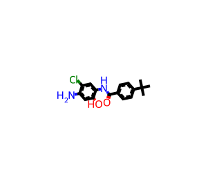 CC(C)(C)c1ccc(C(=O)Nc2cc(Cl)c(N)cc2O)cc1